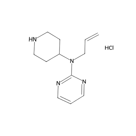 C=CCN(c1ncccn1)C1CCNCC1.Cl